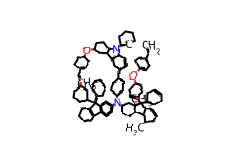 C=CC1=CC=C(OC2CC=C(C3(C4CC=CCC4)C4C=CCC(C)C4C4CCC(N(C5=CCC(C6C=CC7C(C6)C6CC(OC8CC=C(C=C)CC8)CCC6N7C6CCCCC6)CC5)c5ccc6c(c5)C(C5CCCCC5)(C5CCCCC5)C5=C6CCCC5)CC43C)CC2)CC1